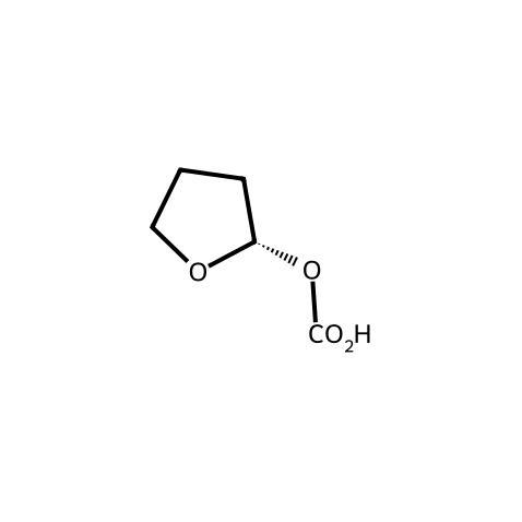 O=C(O)O[C@H]1CCCO1